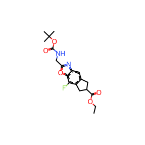 CCOC(=O)C1Cc2cc3nc(CNC(=O)OC(C)(C)C)oc3c(F)c2C1